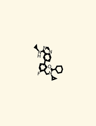 O=C(C1CCCCC1)N(Cc1cc(-c2ccc3ncnc(NC4CC4)c3c2)ccc1F)C1CC1